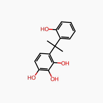 CC(C)(c1ccccc1O)c1ccc(O)c(O)c1O